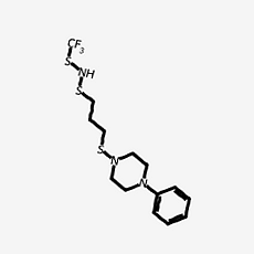 FC(F)(F)SNSCCCSN1CCN(c2ccccc2)CC1